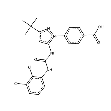 CC(C)(C)c1cc(NC(=O)Nc2cccc(Cl)c2Cl)n(-c2ccc(C(=O)O)cc2)n1